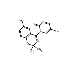 CC1(C)N=C(n2cc(O)ccc2=O)c2cc(C#N)ccc2O1